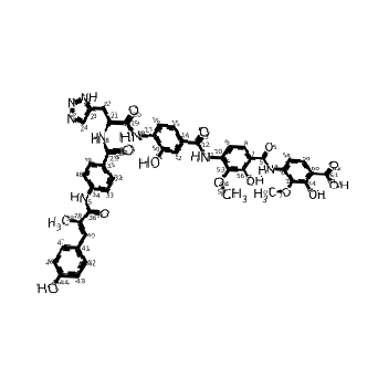 COc1c(NC(=O)c2ccc(NC(=O)c3ccc(NC(=O)C(Cc4cnn[nH]4)NC(=O)c4ccc(NC(=O)/C(C)=C/c5ccc(O)cc5)cc4)c(O)c3)c(OC)c2O)ccc(C(=O)O)c1O